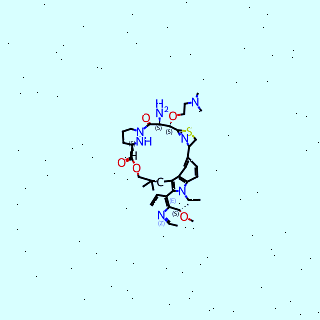 C=C/C(=C(\N=C/C)[C@H](C)OC)c1c2c3cc(ccc3n1CC)C1CSC(=N1)[C@@H](OCCN(C)C)[C@H](N)C(=O)N1CCC[C@H](N1)C(=O)OCC(C)(C)C2